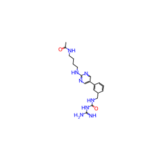 CC(=O)NCCCCNc1ncc(C2=CC(CNC(=O)NC(=N)N)C=C=C2)cn1